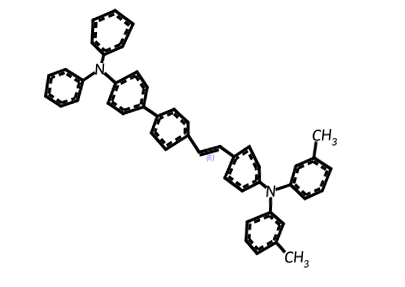 Cc1cccc(N(c2ccc(/C=C/c3ccc(-c4ccc(N(c5ccccc5)c5ccccc5)cc4)cc3)cc2)c2cccc(C)c2)c1